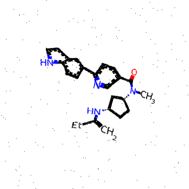 C=C(CC)N[C@H]1CC[C@@H](N(C)C(=O)c2ccc(-c3ccc4[nH]ccc4c3)nc2)C1